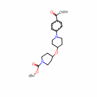 COC(=O)c1ccc(N2CCC(OC3CCN(C(=O)OC(C)(C)C)CC3)CC2)cc1